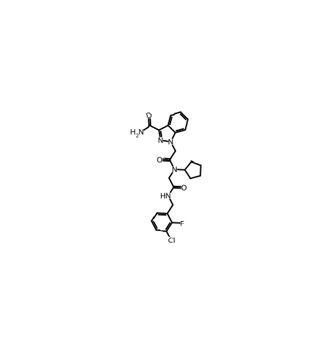 NC(=O)c1nn(CC(=O)N(CC(=O)NCc2cccc(Cl)c2F)C2CCCC2)c2ccccc12